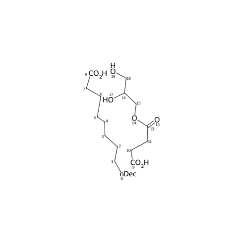 CCCCCCCCCCCCCCCCCC(=O)O.O=C(O)CCC(=O)OCC(O)CO